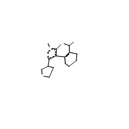 Cn1nc(C2CCNC2)c2c1NC(C=O)C1=C2CCCC1